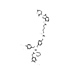 CC[C@H](C(=O)N1CCCC[C@H]1C(=O)O[C@H](CCc1ccc(OC)c(C)c1)c1ccc(COC(=O)NCCCCC(=O)Nc2cccc3c2CN(C2CCC(=O)NC2=O)C3=O)cc1)c1cc(C)c(OC)c(C)c1